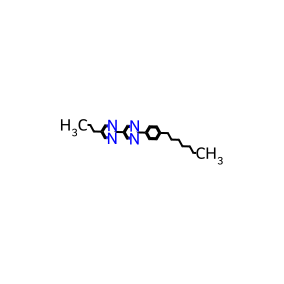 CCCCCCCc1ccc(-c2ncc(-c3ncc(CCC)cn3)cn2)cc1